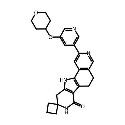 O=C1NC2(CCC2)Cc2[nH]c3c(c21)CCc1cnc(-c2cncc(OC4CCOCC4)c2)cc1-3